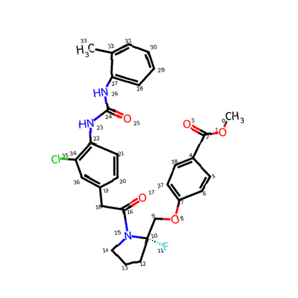 COC(=O)c1ccc(OC[C@@]2(F)CCCN2C(=O)Cc2ccc(NC(=O)Nc3ccccc3C)c(Cl)c2)cc1